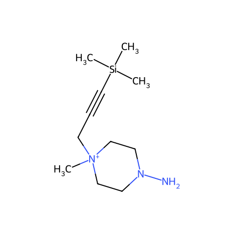 C[N+]1(CC#C[Si](C)(C)C)CCN(N)CC1